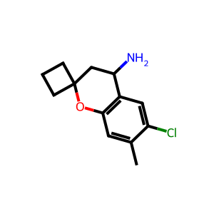 Cc1cc2c(cc1Cl)C(N)CC1(CCC1)O2